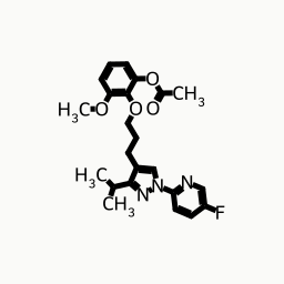 COc1cccc(OC(C)=O)c1OCCCc1cn(-c2ccc(F)cn2)nc1C(C)C